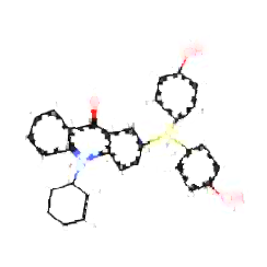 O=c1c2ccccc2n(C2CCCCC2)c2ccc([S+](c3ccc(O)cc3)c3ccc(O)cc3)cc12